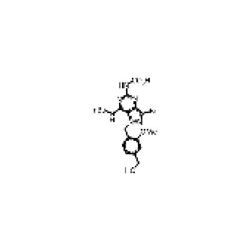 CCCCNc1nc(NC(=O)O)nc2c(Br)nn(Cc3ccc(CO)cc3OC)c12